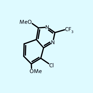 COc1ccc2c(OC)nc(C(F)(F)F)nc2c1Cl